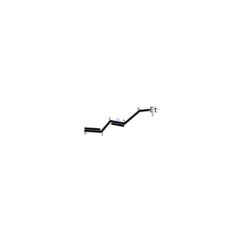 C=C/C=C/C[CH]C